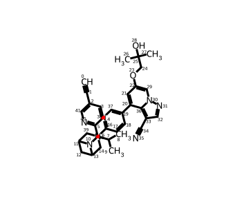 C#Cc1ccc(C(C(C)C)N2C3CC2CN(c2ccc(-c4cc(OCC(C)(C)O)cn5ncc(C#N)c45)cn2)C3)nc1